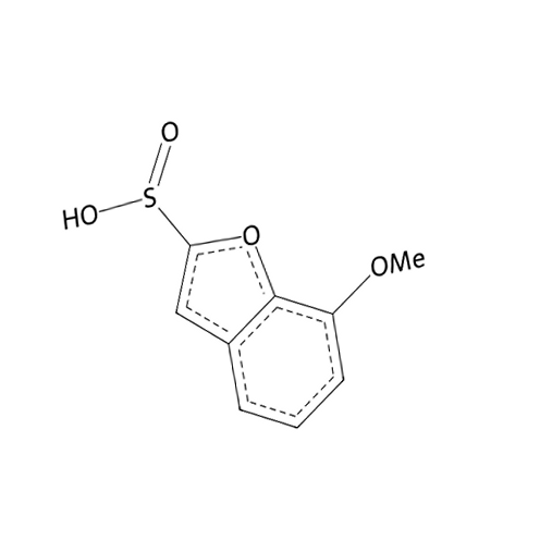 COc1cccc2cc(S(=O)O)oc12